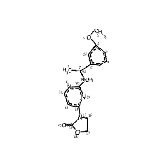 COc1cccc([C@H](C)Nc2nccc(N3CCOC3=O)n2)c1